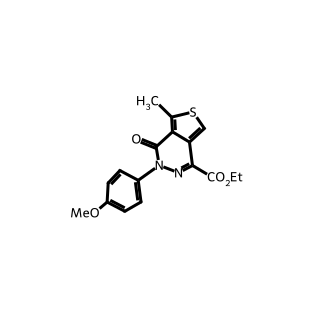 CCOC(=O)c1nn(-c2ccc(OC)cc2)c(=O)c2c(C)scc12